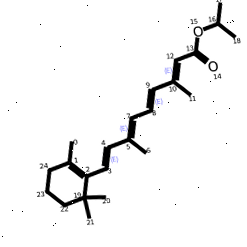 CC1=C(/C=C/C(C)=C/C=C/C(C)=C/C(=O)OC(C)C)C(C)(C)CCC1